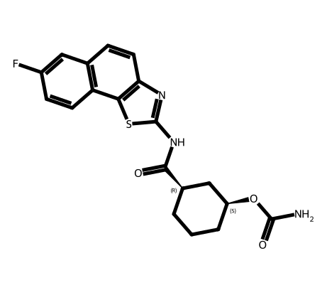 NC(=O)O[C@H]1CCC[C@@H](C(=O)Nc2nc3ccc4cc(F)ccc4c3s2)C1